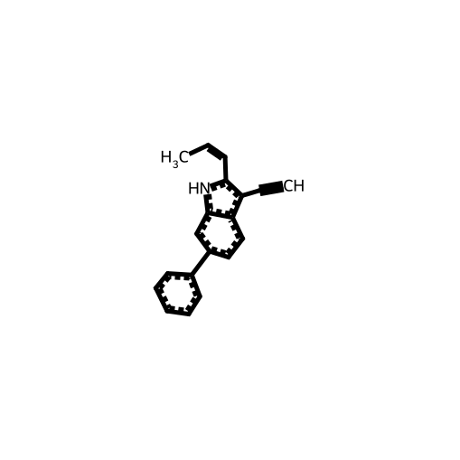 C#Cc1c(/C=C\C)[nH]c2cc(-c3ccccc3)ccc12